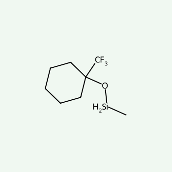 C[SiH2]OC1(C(F)(F)F)CCCCC1